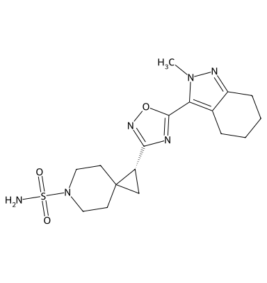 Cn1nc2c(c1-c1nc([C@@H]3CC34CCN(S(N)(=O)=O)CC4)no1)CCCC2